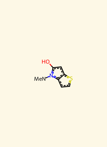 CNn1c(O)cc2sccc21